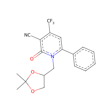 CC1(C)OCC(Cn2c(-c3ccccc3)cc(C(F)(F)F)c(C#N)c2=O)O1